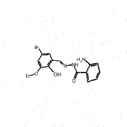 CCOc1cc(Br)cc(C=NNC(=O)c2ccccc2N)c1O